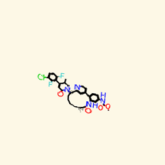 COC(=O)Nc1ccc2c(c1)NC(=O)[C@H](C)CCCC[C@H](N1CC(C)C(c3c(F)ccc(Cl)c3F)=CC1=O)c1cc-2ccn1